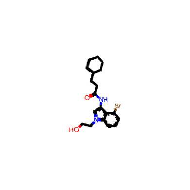 O=C(CCC1CCCCC1)Nc1cn(CCO)c2cccc(Br)c12